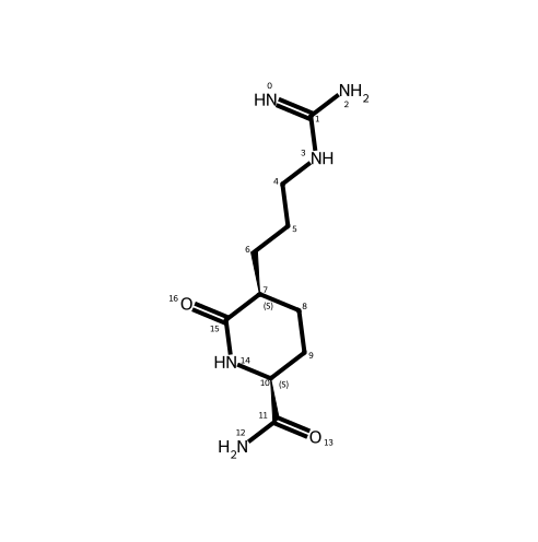 N=C(N)NCCC[C@H]1CC[C@@H](C(N)=O)NC1=O